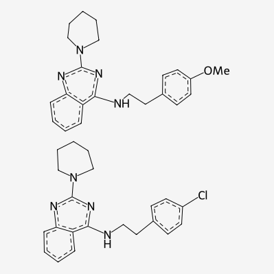 COc1ccc(CCNc2nc(N3CCCCC3)nc3ccccc23)cc1.Clc1ccc(CCNc2nc(N3CCCCC3)nc3ccccc23)cc1